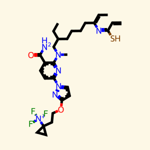 C=C/C(S)=N\C(=C/C)CCCCC(CC)CN(C)c1nc(-n2ccc(OCCC3([N+](F)(F)F)CC3)n2)ccc1C(N)=O